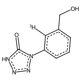 [3H]c1c(CO)cccc1-n1nn[nH]c1=O